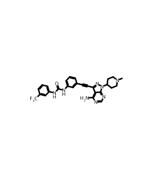 CN1CCC(n2nc(C#Cc3cccc(NC(=O)Nc4cccc(C(F)(F)F)c4)c3)c3c(N)ncnc32)CC1